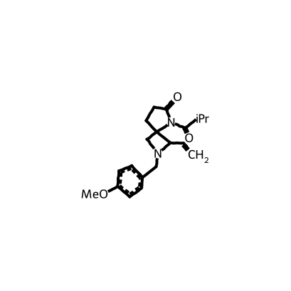 C=CC1N(Cc2ccc(OC)cc2)CC12CCC(=O)N2C(=O)C(C)C